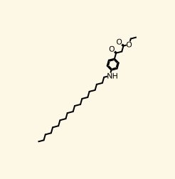 CCCCCCCCCCCCCCCCCCCNc1ccc(C(=O)CC(=O)OCC)cc1